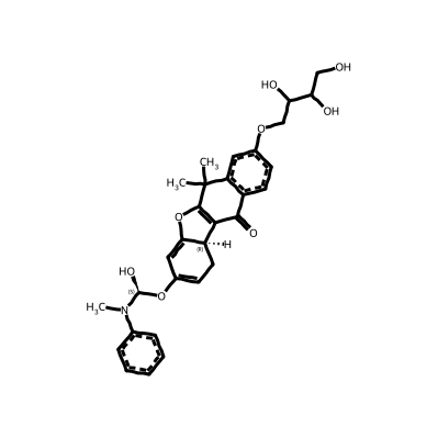 CN(c1ccccc1)[C@@H](O)OC1=CC[C@H]2C(=C1)OC1=C2C(=O)c2ccc(OCC(O)C(O)CO)cc2C1(C)C